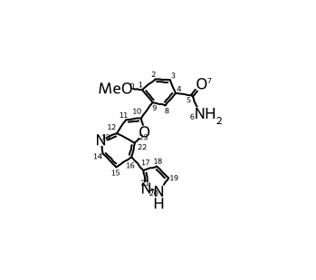 COc1ccc(C(N)=O)cc1-c1cc2nccc(-c3cc[nH]n3)c2o1